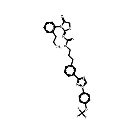 CCCc1ccccc1N1C(=O)CS/C1=N\C(=S)NCCCc1cccc(-c2ncn(-c3ccc(OC(F)(F)F)cc3)n2)c1